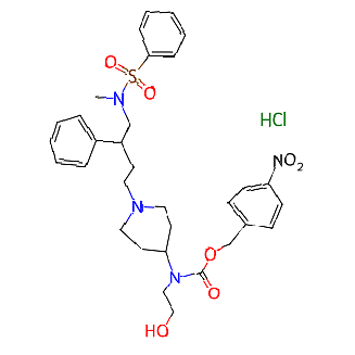 CN(CC(CCN1CCC(N(CCO)C(=O)OCc2ccc([N+](=O)[O-])cc2)CC1)c1ccccc1)S(=O)(=O)c1ccccc1.Cl